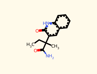 CCC(C)(C(N)=O)c1cc2ccccc2[nH]c1=O